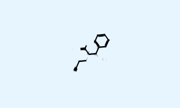 C#CCC[C@@H](C(=C)O)[C@H](O)c1ccccc1